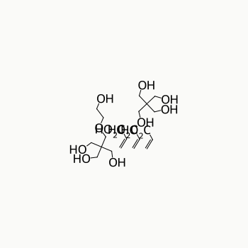 C=CC(=O)O.C=CC(=O)O.C=CC(=O)O.OCC(CO)(CO)CO.OCCOCC(CO)(CO)CO